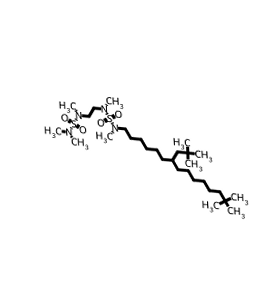 CN(C)S(=O)(=O)N(C)CCN(C)S(=O)(=O)N(C)CCCCCCC(CCCCCCC(C)(C)C)CC(C)(C)C